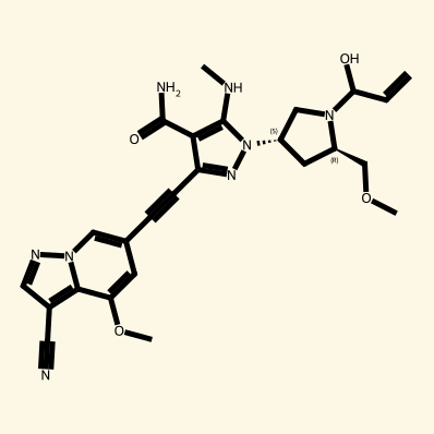 C=CC(O)N1C[C@@H](n2nc(C#Cc3cc(OC)c4c(C#N)cnn4c3)c(C(N)=O)c2NC)C[C@@H]1COC